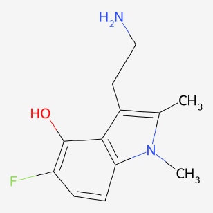 Cc1c(CCN)c2c(O)c(F)ccc2n1C